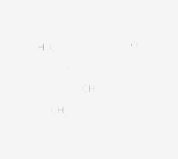 C=CC(C)(C)CC[O]